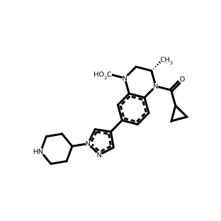 C[C@H]1CN(C(=O)O)c2cc(-c3cnn(C4CCNCC4)c3)ccc2N1C(=O)C1CC1